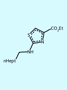 CCCCCCCCNc1nc(C(=O)OCC)cs1